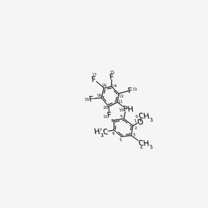 COc1c(C)cc(C)cc1Pc1c(F)c(F)c(F)c(F)c1F